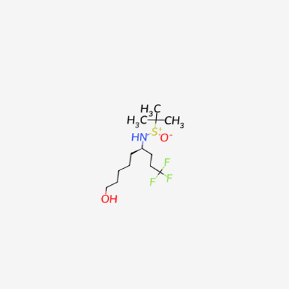 CC(C)(C)[S@+]([O-])N[C@H](CCCCCO)CCC(F)(F)F